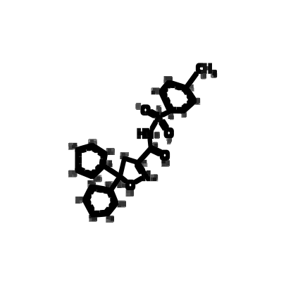 Cc1ccc(S(=O)(=O)NC(=O)C2=NOC(c3ccccc3)(c3ccccc3)C2)cc1